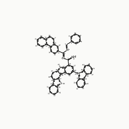 N=C(/N=C(\N=C\c1ccccc1)c1ccc2c(ccc3ccccc32)c1)c1cc(-n2c3ccccc3c3ccccc32)cc2c1sc1ccc3c4ccccc4sc3c12